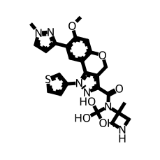 COc1cc2c(cc1-c1ccn(C)n1)-c1c(c(C(=O)N(C(O)(O)O)C3(C)CNC3)nn1-c1ccsc1)CO2